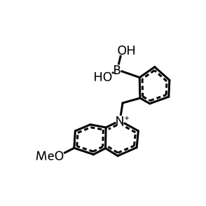 COc1ccc2c(ccc[n+]2Cc2ccccc2B(O)O)c1